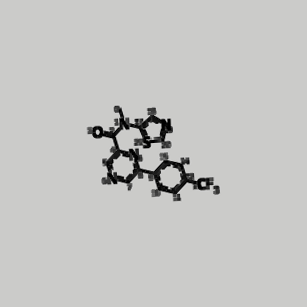 CN(C(=O)c1cncc(-c2ccc(C(F)(F)F)cc2)n1)c1cncs1